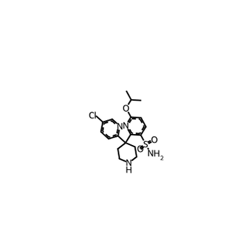 CC(C)Oc1ccc(S(N)(=O)=O)c(C2(c3ccc(Cl)cn3)CCNCC2)n1